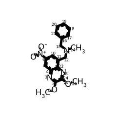 COc1nc2cc([N+](=O)[O-])cc(CN(C)Cc3ccccc3)c2nc1OC